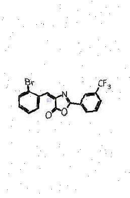 O=C1OC(c2cccc(C(F)(F)F)c2)=N/C1=C/c1ccccc1Br